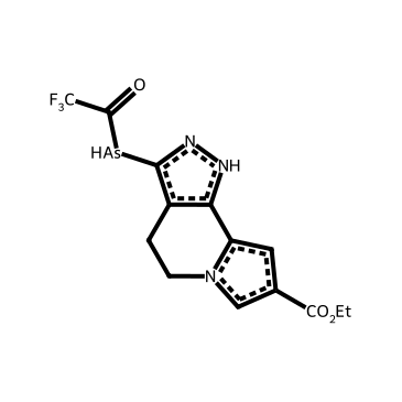 CCOC(=O)c1cc2n(c1)CCc1c([AsH]C(=O)C(F)(F)F)n[nH]c1-2